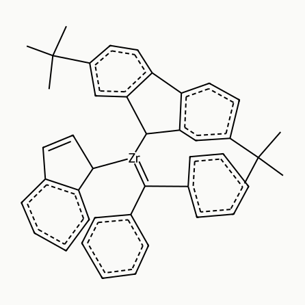 CC(C)(C)c1ccc2c(c1)[CH]([Zr](=[C](c1ccccc1)c1ccccc1)[CH]1C=Cc3ccccc31)c1cc(C(C)(C)C)ccc1-2